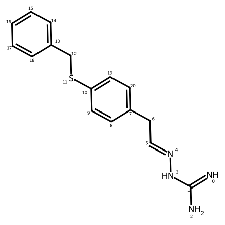 N=C(N)NN=CCc1ccc(SCc2ccccc2)cc1